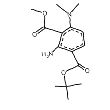 COC(=O)c1c(N(C)C)ccc(C(=O)OC(C)(C)C)c1N